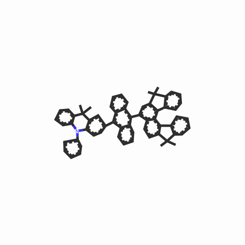 CC1(C)c2ccccc2N(c2ccccc2)c2ccc(-c3c4ccccc4c(-c4cc5c(c6c7c(ccc46)C(C)(C)c4ccccc4-7)-c4ccccc4C5(C)C)c4ccccc34)cc21